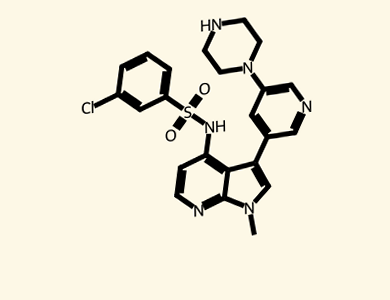 Cn1cc(-c2cncc(N3CCNCC3)c2)c2c(NS(=O)(=O)c3cccc(Cl)c3)ccnc21